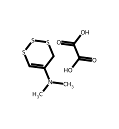 CN(C)C1=CSSSC1.O=C(O)C(=O)O